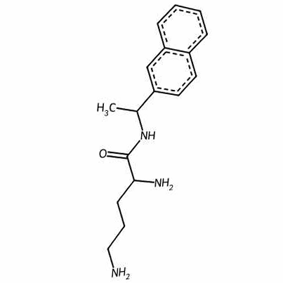 CC(NC(=O)C(N)CCCN)c1ccc2ccccc2c1